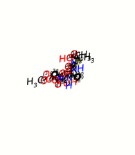 COC(=O)Oc1cccc2c(=O)n([C@@H](CO)C(=O)N[C@@H](C(=O)N[C@@H]3C(=O)N4C3SC(C)(C)C4C(=O)O)c3ccccc3)c(=O)oc12